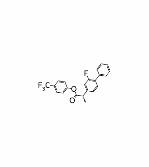 C[C@@H](C(=O)Oc1ccc(C(F)(F)F)cc1)c1ccc(-c2ccccc2)c(F)c1